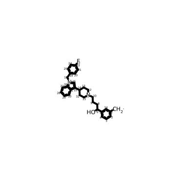 [CH2]c1cccc(C(O)CCCN2CCC(c3cn(Cc4ccc(F)cc4)c4ccccc34)CC2)c1